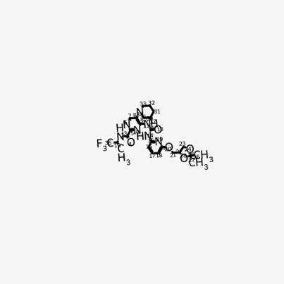 CC(NC(=O)c1ncc2c(n1)N(C(=O)Nc1cccc(OCC3COC(C)(C)O3)n1)[C@H]1CCCN2C1)C(F)(F)F